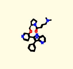 CN(C)C/C=C/C(=O)N1CCC[C@H]1COc1cnccc1-c1[nH]c2cccnc2c1-c1ccccc1